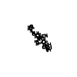 CC(C)NC(=O)Nc1ccc(-c2c(C#N)c3ccc(OCCC4CCOC4)cc3n2C2CCC2)cc1